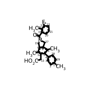 Cc1ccc(-c2c(C)c3c(c(C)c2CC(=O)O)CN(C(=O)c2cccc(F)c2C)C3)cc1